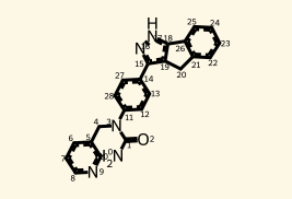 NC(=O)N(Cc1cccnc1)c1ccc(-c2n[nH]c3c2Cc2ccccc2-3)cc1